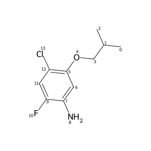 CC(C)COc1cc(N)c(F)cc1Cl